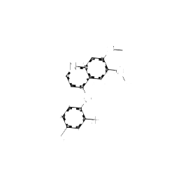 COc1cc2nccc(Oc3ccc(C)cc3F)c2cc1OC